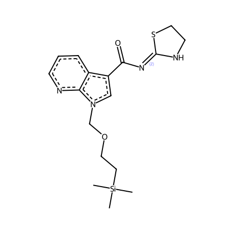 C[Si](C)(C)CCOCn1cc(C(=O)/N=C2/NCCS2)c2cccnc21